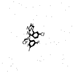 Fc1cc(I)cc(N(CC(F)(F)F)c2nc3nncn3c3cc(Cl)ccc23)c1